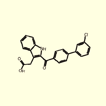 O=C(O)Cc1c(C(=O)c2ccc(-c3cccc(Cl)c3)cc2)[nH]c2ccccc12